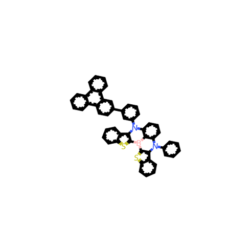 c1ccc(N2c3cccc4c3B(c3sc5ccccc5c32)c2sc3ccccc3c2N4c2cccc(-c3ccc4c5ccccc5c5ccccc5c4c3)c2)cc1